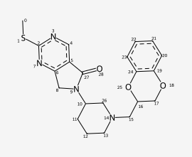 CSc1ncc2c(n1)CN(C1CCCN(CC3COc4ccccc4O3)C1)C2=O